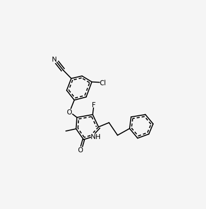 Cc1c(Oc2cc(Cl)cc(C#N)c2)c(F)c(CCc2ccccc2)[nH]c1=O